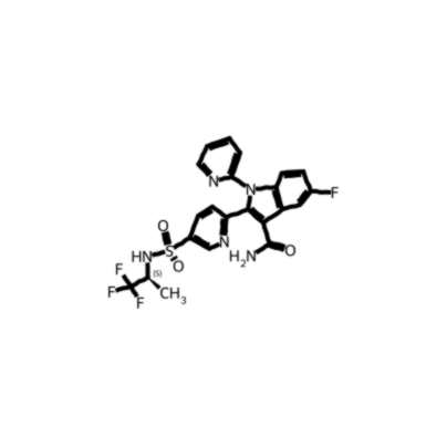 C[C@H](NS(=O)(=O)c1ccc(-c2c(C(N)=O)c3cc(F)ccc3n2-c2ccccn2)nc1)C(F)(F)F